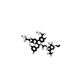 C=CC[C@@H]1Cc2c(C(F)(F)F)nn(CC(=O)NC(Cc3cc(F)cc(F)c3)c3nc4nc(C(N)=O)sc4cc3-c3ccc(F)c(C(N)=O)c3)c2C1(F)F